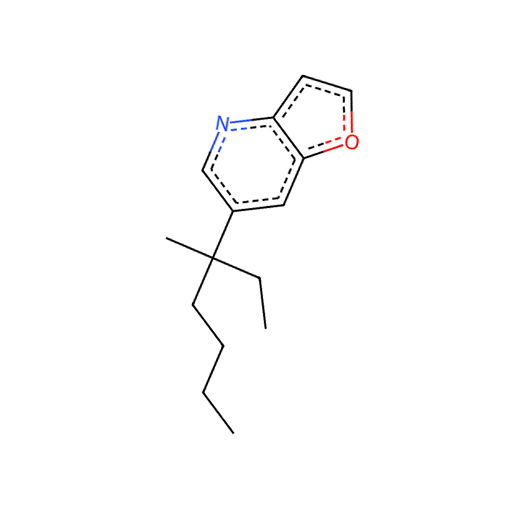 CCCCC(C)(CC)c1cnc2ccoc2c1